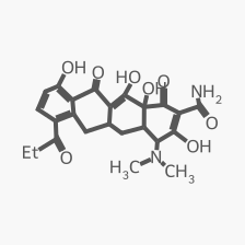 CCC(=O)c1ccc(O)c2c1CC1CC3C(N(C)C)C(O)=C(C(N)=O)C(=O)C3(O)C(O)=C1C2=O